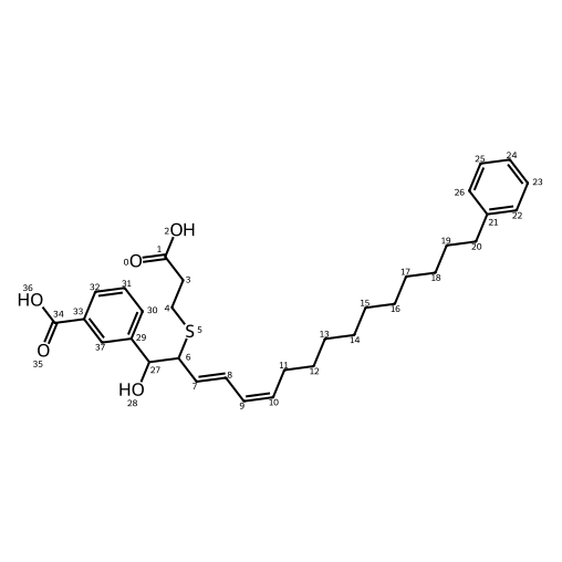 O=C(O)CCSC(/C=C/C=C\CCCCCCCCCCc1ccccc1)C(O)c1cccc(C(=O)O)c1